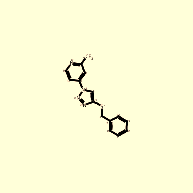 FC(F)(F)c1cc(-n2cc(SCc3ccccc3)nn2)ccn1